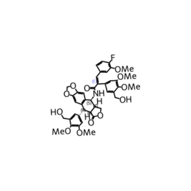 COc1cc(/C=C(/C(=O)N[C@@H]2c3cc4c(cc3[C@@H](c3cc(CO)c(OC)c(OC)c3)[C@H]3C(=O)OC[C@@H]32)OCO4)c2cc(CO)c(OC)c(OC)c2)ccc1F